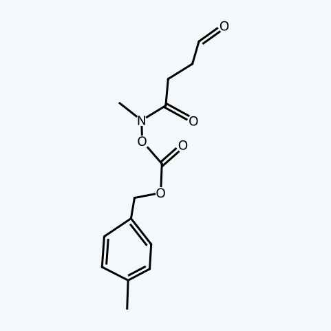 Cc1ccc(COC(=O)ON(C)C(=O)CCC=O)cc1